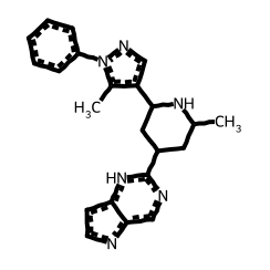 Cc1c(C2CC(c3ncc4nccc-4[nH]3)CC(C)N2)cnn1-c1ccccc1